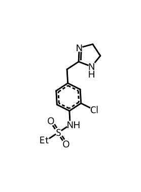 CCS(=O)(=O)Nc1ccc(CC2=NCCN2)cc1Cl